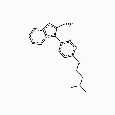 CCOC(=O)c1cc2ccccn2c1-c1ccc(OCCN(C)C)nn1